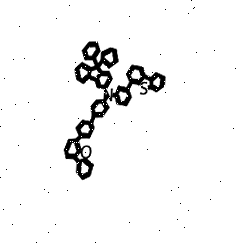 c1ccc(C2(c3ccccc3)c3ccccc3-c3cc(N(c4ccc(-c5ccc(-c6cccc7c6oc6ccccc67)cc5)cc4)c4cccc(-c5cccc6c5sc5ccccc56)c4)ccc32)cc1